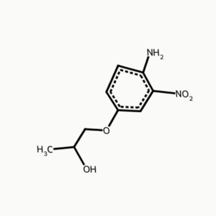 CC(O)COc1ccc(N)c([N+](=O)[O-])c1